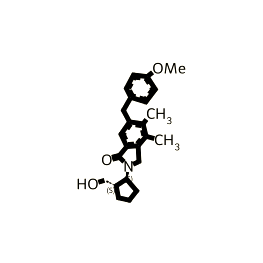 COc1ccc(Cc2cc3c(c(C)c2C)CN([C@H]2CCC[C@@H]2CO)C3=O)cc1